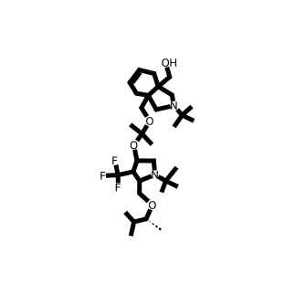 CC(C)[C@@H](C)OCC1C(C(F)(F)F)C(OC(C)(C)OCC23CC=CCC2(CO)CN(C(C)(C)C)C3)CN1C(C)(C)C